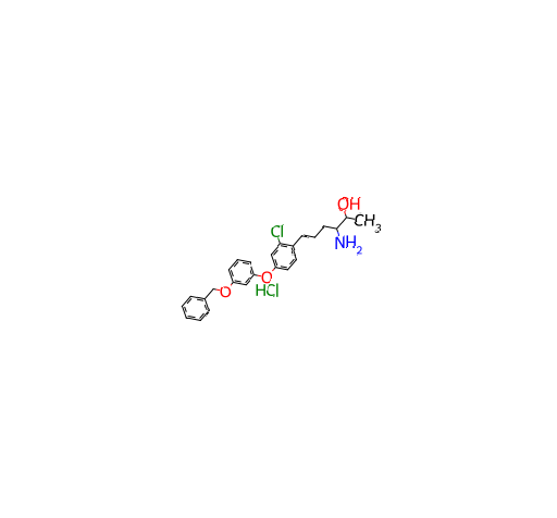 CC(O)C(N)CCCc1ccc(Oc2cccc(OCc3ccccc3)c2)cc1Cl.Cl